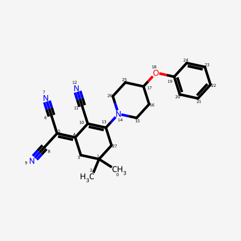 CC1(C)CC(=C(C#N)C#N)C(C#N)=C(N2CCC(Oc3ccccc3)CC2)C1